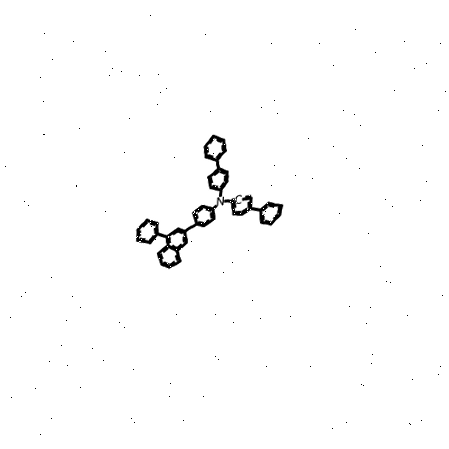 c1ccc(-c2ccc(N(c3ccc(-c4ccccc4)cc3)c3ccc(-c4cc(-c5ccccc5)c5ccccc5c4)cc3)cc2)cc1